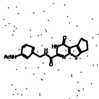 CC(=O)Nc1cccc(CNC(=O)c2nc3sc4c(c3c(=O)[nH]2)CCC4)c1